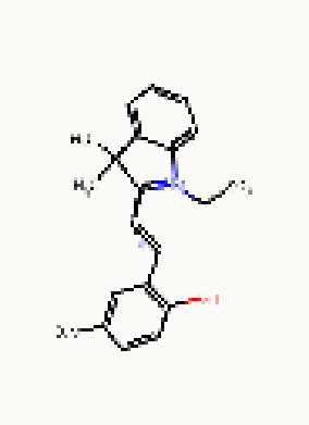 CC1(C)C(/C=C/c2cc([N+](=O)[O-])ccc2O)=[N+](CS(=O)(=O)O)c2ccccc21